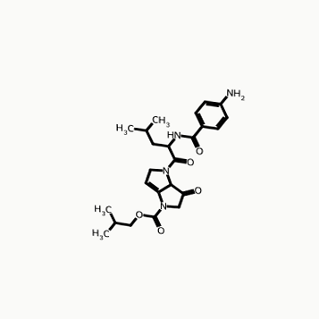 CC(C)COC(=O)N1CC(=O)C2C1=CCN2C(=O)C(CC(C)C)NC(=O)c1ccc(N)cc1